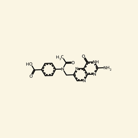 CC(=O)N(Cc1cnc2nc(N)[nH]c(=O)c2n1)c1ccc(C(=O)O)cc1